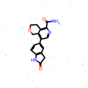 NC(=O)c1ncc(-c2ccc3c(c2)CC(=O)N3)c2c1[CH]COC2